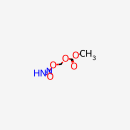 COC(=O)OCOn1[nH]o1